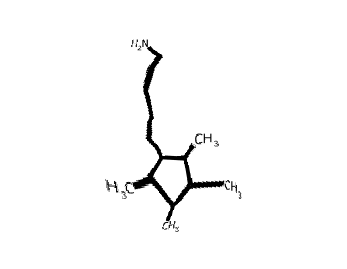 CC1C(C)C(C)C(CCCCN)C1C